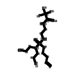 C=CCCOP(=O)(NCCNC(=O)C(F)(F)F)N(CCCl)CCCl